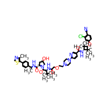 Cc1ncsc1-c1ccc([C@H](C)NC(=O)[C@@H]2C[C@@H](O)CN2C(=O)[C@@H](NC(=O)COCCN2CCN(c3ccc(C(=O)N[C@H]4C(C)(C)[C@H](Oc5ccc(C#N)c(Cl)c5)C4(C)C)cn3)CC2)C(C)(C)C)cc1